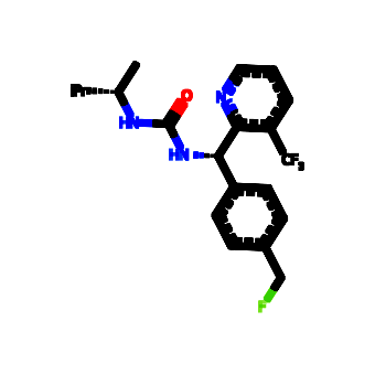 CC(C)[C@H](C)NC(=O)N[C@@H](c1ccc(CF)cc1)c1ncccc1C(F)(F)F